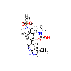 Cc1c[nH]c2ncc(-c3cc4c(c([C@@H]5CCCN5C(=O)O)c3)CN(S(C)(=O)=O)CC4)cc12